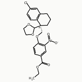 CCOC(=O)c1ccc(OC[C@@]2(C3OCCO3)CCCc3cc(Cl)ccc32)c([N+](=O)[O-])c1